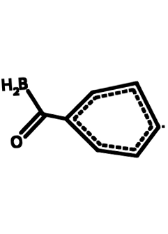 BC(=O)c1cc[c]cc1